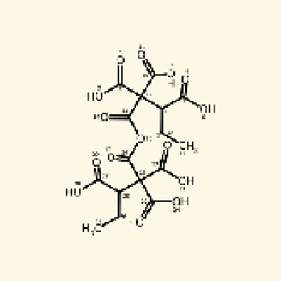 CCC(C(=O)O)C(C(=O)O)(C(=O)O)C(=O)OC(=O)C(C(=O)O)(C(=O)O)C(CC)C(=O)O